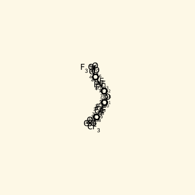 O=S(=O)(Oc1ccc(C(F)(F)C(F)(F)c2ccc(Oc3ccc(C(F)(F)C(F)(F)c4ccc(OS(=O)(=O)C(F)(F)F)cc4)cc3)cc2)cc1)C(F)(F)F